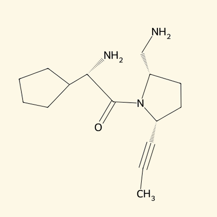 CC#C[C@H]1CC[C@@H](CN)N1C(=O)[C@@H](N)C1CCCC1